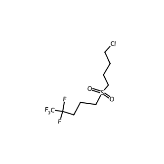 O=S(=O)(CCCCCl)CCCC(F)(F)C(F)(F)F